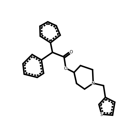 O=C(OC1CCN(Cc2ccsc2)CC1)C(c1ccccc1)c1ccccc1